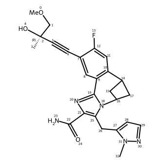 COC[C@](C)(O)C#Cc1cc2c(cc1F)C1CC(C1)n1c-2nc(C(N)=O)c1Cc1ccnn1C